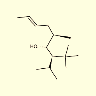 C/C=C/C[C@@H](C)[C@@H](O)[C@H](C(C)C)C(C)(C)C